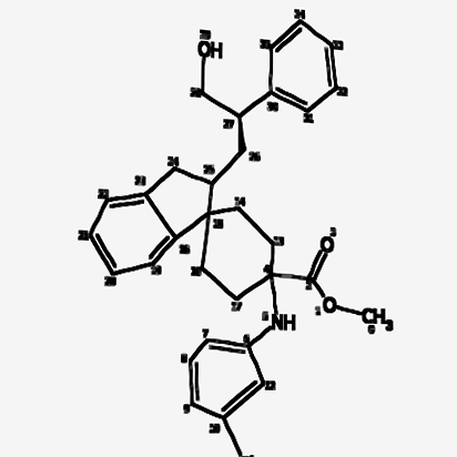 COC(=O)C1(Nc2cccc(Cl)c2)CCC2(CC1)c1ccccc1CC2C[C@@H](CO)c1ccccc1